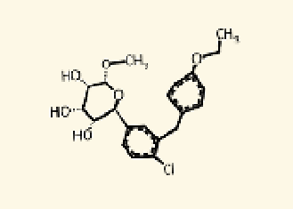 CCOc1ccc(Cc2cc([C@@H]3O[C@@H](OC)[C@@H](O)[C@@H](O)[C@H]3O)ccc2Cl)cc1